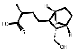 C[C@@H](CCC1[C@@H]2CC[C@@H](O2)[C@@H]1CO)C(O)=S